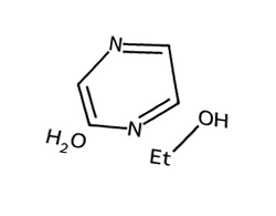 CCO.O.c1cnccn1